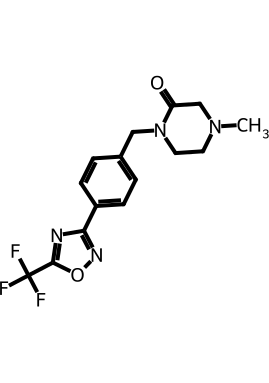 CN1CCN(Cc2ccc(-c3noc(C(F)(F)F)n3)cc2)C(=O)C1